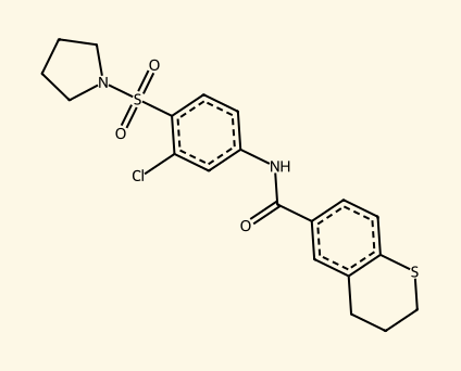 O=C(Nc1ccc(S(=O)(=O)N2CCCC2)c(Cl)c1)c1ccc2c(c1)CCCS2